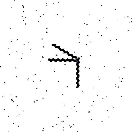 CCCCCCCCCC/C=C/[Si](C)(CCCCCCCCCCCC)CCCCCCCCCCCC